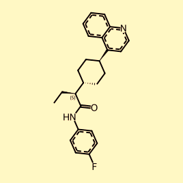 CC[C@H](C(=O)Nc1ccc(F)cc1)[C@H]1CC[C@H](c2ccnc3ccccc32)CC1